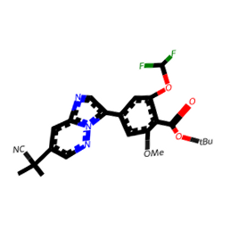 COc1cc(-c2cnc3cc(C(C)(C)C#N)cnn23)cc(OC(F)F)c1C(=O)OC(C)(C)C